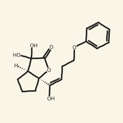 O=C1O[C@@]2(/C(O)=C\CCOc3ccccc3)CCC[C@H]2C1(O)O